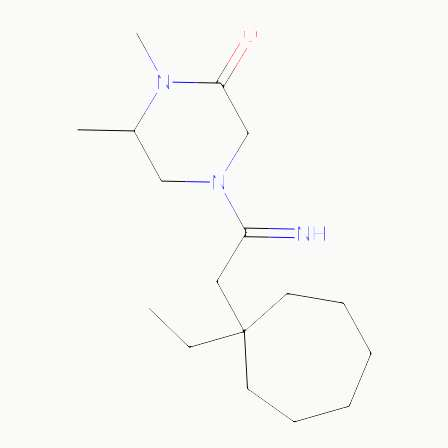 CCC1(CC(=N)N2CC(=O)N(C)C(C)C2)CCCCCC1